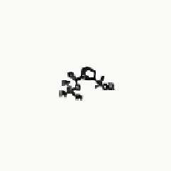 CCO[Si](C)(C)C1CC2CC(C(=O)O[Si](C(C)C)(C(C)C)C(C)C)C1C2